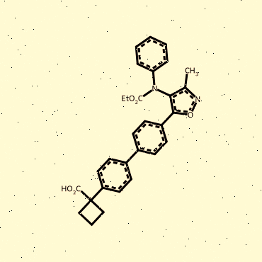 CCOC(=O)N(c1ccccc1)c1c(C)noc1-c1ccc(-c2ccc(C3(C(=O)O)CCC3)cc2)cc1